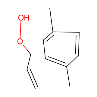 C=CCOO.Cc1ccc(C)cc1